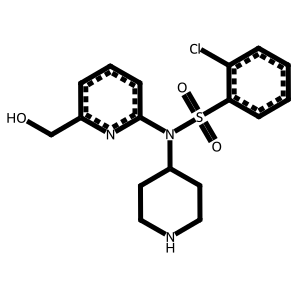 O=S(=O)(c1ccccc1Cl)N(c1cccc(CO)n1)C1CCNCC1